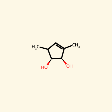 CC1=CC(C)[C@H](O)[C@@H]1O